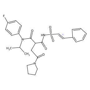 CC(C)N(C(=O)C(CC(=O)N1CCCC1)C(=O)NS(=O)(=O)/C=C/c1ccccc1)c1ccc(F)cc1